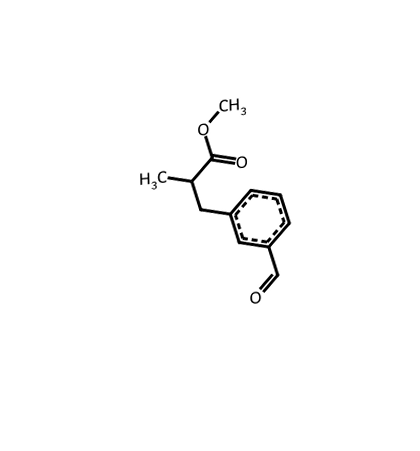 COC(=O)C(C)Cc1cccc(C=O)c1